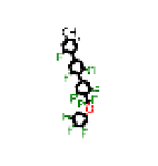 Cc1ccc(-c2cc(F)c(-c3cc(F)c(C(F)(F)Oc4cc(F)c(F)c(F)c4)c(F)c3)c(Cl)c2)c(F)c1